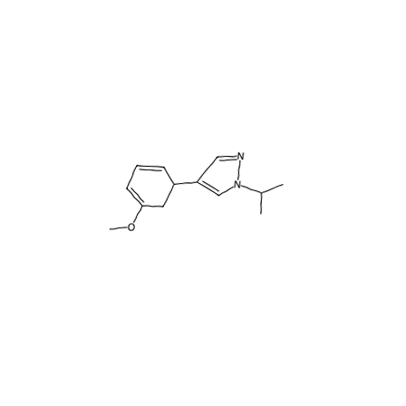 COC1=CC=CC(c2cnn(C(C)C)c2)C1